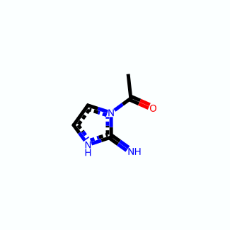 CC(=O)n1cc[nH]c1=N